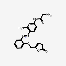 NCC(=O)Nc1ccc(/N=N/c2ccccc2OCC2=CCC(=O)O2)c(N)n1